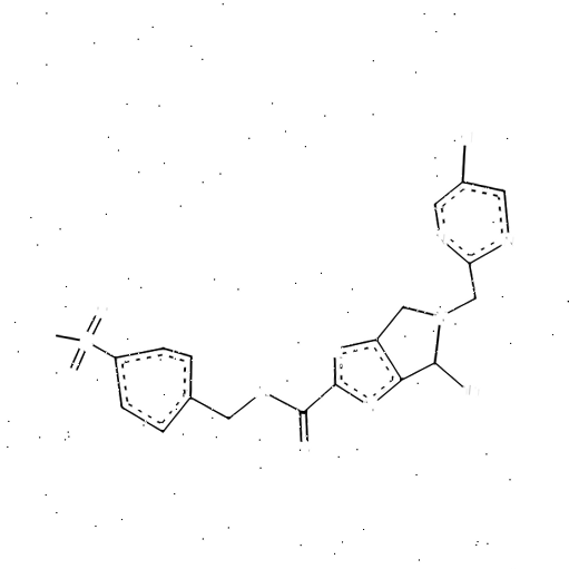 CC(C)C1c2nc(C(=O)NCc3ccc(S(C)(=O)=O)cc3)sc2CN1Cc1ncc(Cl)cn1